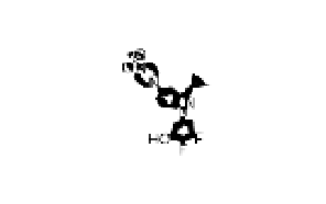 CS(=O)(=O)N1CCN(c2ccc3c(c2)c(C2CC2)nn3-c2cc(O)c(F)c(F)c2)CC1